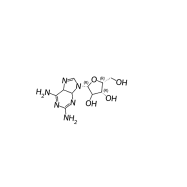 NC1=NC2C(N=CN2[C@@H]2O[C@H](CO)[C@H](O)C2O)C(N)=N1